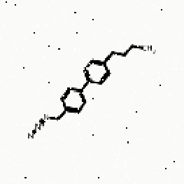 CCCCc1ccc(-c2ccc(CN=[N+]=[N-])cc2)cc1